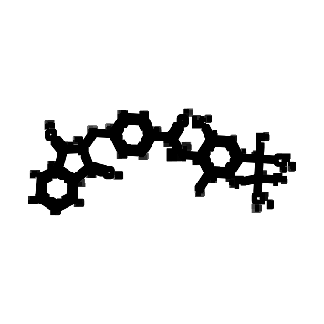 CCc1cc(C(F)(C(F)(F)F)C(F)(F)C(F)(F)F)cc(C)c1NC(=O)c1ccc(CN2C(=O)c3ccccc3C2=O)cc1